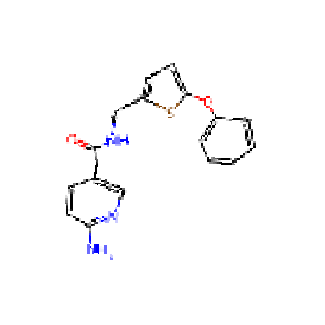 Nc1ccc(C(=O)NCc2ccc(Oc3ccccc3)s2)cn1